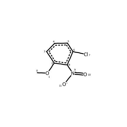 COc1cccc(Cl)c1[N+](=O)[O-]